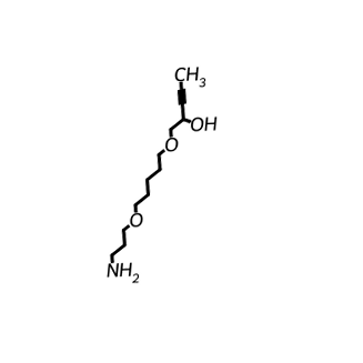 CC#CC(O)COCCCCCOCCCN